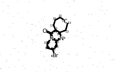 O=c1c2c(nc3cc(Br)ccn13)CCCCCC2